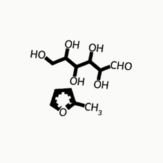 Cc1ccco1.O=CC(O)C(O)C(O)C(O)CO